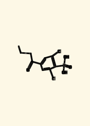 CCCC(=O)c1cc(Cl)c(P(=O)(O)O)c(Cl)c1